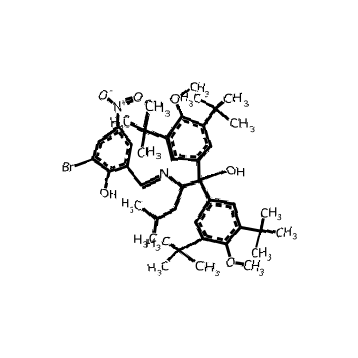 COc1c(C(C)(C)C)cc(C(O)(c2cc(C(C)(C)C)c(OC)c(C(C)(C)C)c2)C(CC(C)C)N=Cc2cc([N+](=O)[O-])cc(Br)c2O)cc1C(C)(C)C